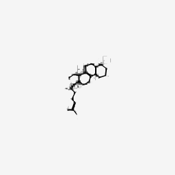 CCC1(CC)CCC[C@]2(C)C3=C(CCC12)[C@@H]1CC[C@H]([C@H](C)CCC=C(C)C)[C@@]1(C)CC3